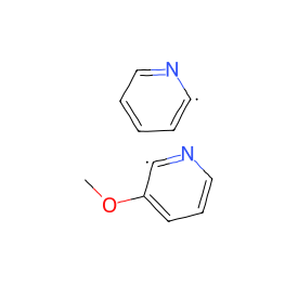 COc1[c]nccc1.[c]1ccccn1